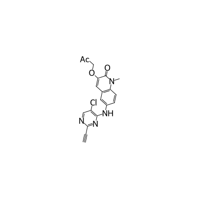 C#Cc1ncc(Cl)c(Nc2ccc3c(c2)cc(OCC(C)=O)c(=O)n3C)n1